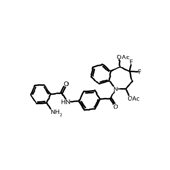 CC(=O)OC1CC(F)(F)C(OC(C)=O)c2ccccc2N1C(=O)c1ccc(NC(=O)c2ccccc2N)cc1